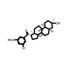 CCc1cc(OC)cc(C(=O)[C@H]2CC[C@H]3[C@@H]4CC[C@@H]5C[C@](C)(O)CC[C@@H]5[C@H]4CC[C@]23C)c1